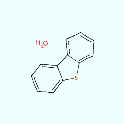 O.c1ccc2c(c1)sc1ccccc12